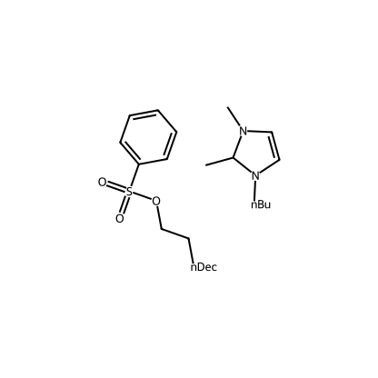 CCCCCCCCCCCCOS(=O)(=O)c1ccccc1.CCCCN1C=CN(C)C1C